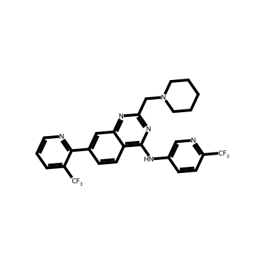 FC(F)(F)c1ccc(Nc2nc(CN3CCCCC3)nc3cc(-c4ncccc4C(F)(F)F)ccc23)cn1